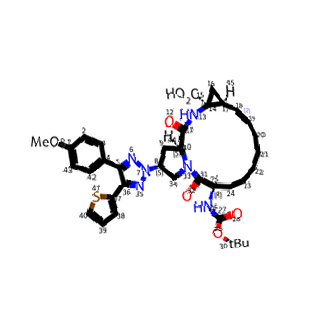 COc1ccc(-c2nn([C@H]3C[C@H]4C(=O)N[C@@]5(C(=O)O)C[C@H]5/C=C\CCCCC[C@@H](NC(=O)OC(C)(C)C)C(=O)N4C3)nc2-c2cccs2)cc1